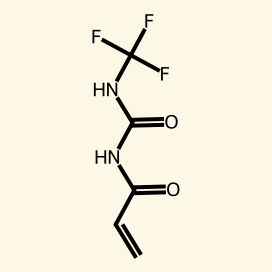 C=CC(=O)NC(=O)NC(F)(F)F